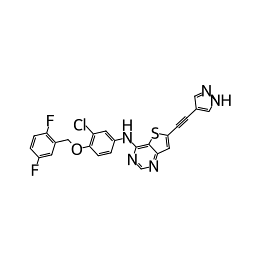 Fc1ccc(F)c(COc2ccc(Nc3ncnc4cc(C#Cc5cn[nH]c5)sc34)cc2Cl)c1